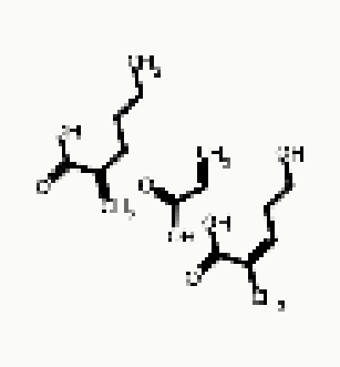 C=C(CCCC)C(=O)O.C=CC(=O)O.CC(=CCCO)C(=O)O